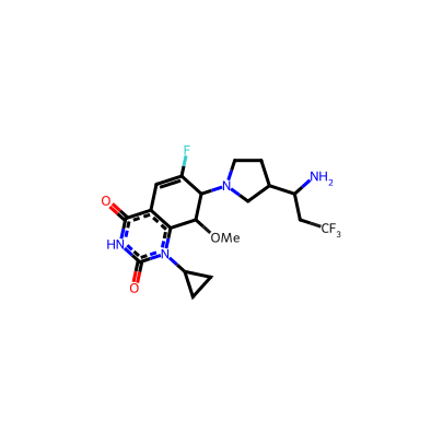 COC1c2c(c(=O)[nH]c(=O)n2C2CC2)C=C(F)C1N1CCC(C(N)CC(F)(F)F)C1